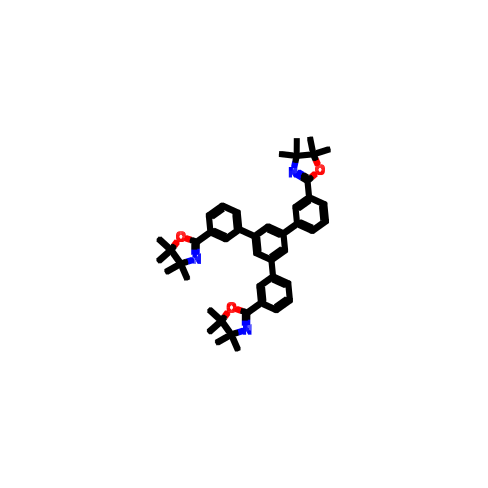 CC1(C)N=C(c2cccc(-c3cc(-c4cccc(C5=NC(C)(C)C(C)(C)O5)c4)cc(-c4cccc(C5=NC(C)(C)C(C)(C)O5)c4)c3)c2)OC1(C)C